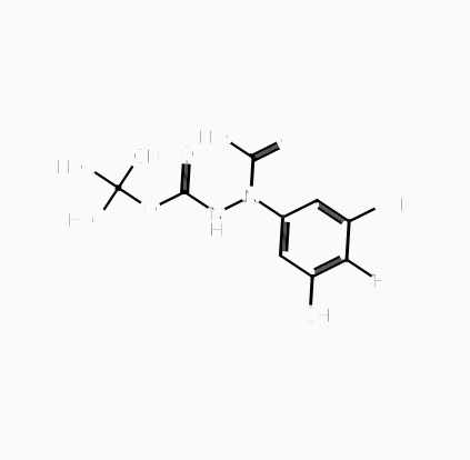 Cc1cc(N(NC(=O)OC(C)(C)C)C(=O)O)cc(C)c1F